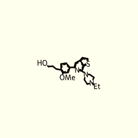 CCN1CCN(c2nc(-c3ccc(CCCO)c(OC)c3)cc3ccsc23)CC1